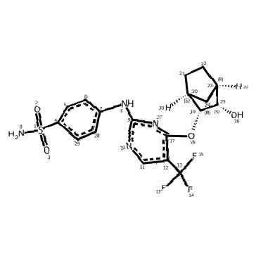 NS(=O)(=O)c1ccc(Nc2ncc(C(F)(F)F)c(O[C@@H]3[C@H]4CC[C@H](C4)[C@@H]3O)n2)cc1